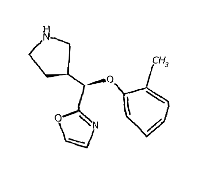 Cc1ccccc1O[C@@H](c1ncco1)[C@H]1CCNC1